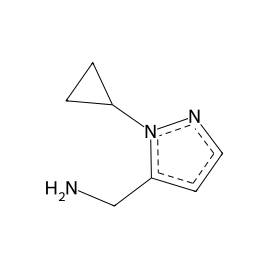 NCc1ccnn1C1CC1